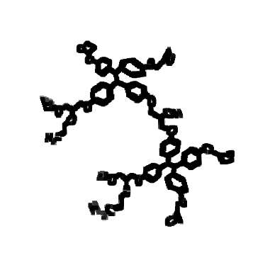 C=CCOC(COCC)COc1ccc(C(c2ccc(OCC(O)COc3ccc(C(c4ccc(OCC(COCC)OCC=C)cc4)C(c4ccc(OCC5CO5)cc4)c4ccc(OC5CCO5)cc4)cc3)cc2)C(c2ccc(OCC3CO3)cc2)c2ccc(OC3CCO3)cc2)cc1